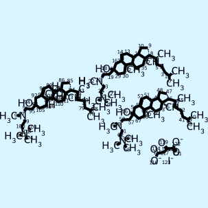 CC(C)CCC[C@@H](C)[C@H]1CCC2C3CC=C4CC(O)(CCN(C)CC[N+](C)(C)C)CC[C@]4(C)C3CC[C@@]21C.CC(C)CCC[C@@H](C)[C@H]1CCC2C3CC=C4CC(O)(CCN(C)CC[N+](C)(C)C)CC[C@]4(C)C3CC[C@@]21C.CC(C)CCC[C@@H](C)[C@H]1CC[C@H]2[C@@H]3CC=C4C[C@](O)(CCN(C)CC[N+](C)(C)C)CC[C@]4(C)[C@H]3CC[C@]12C.O=C([O-])CC(=O)C(=O)[O-].[I-]